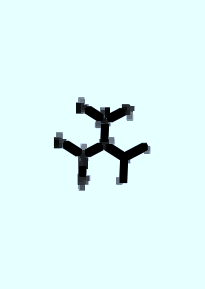 CC(C)N([SiH](Br)Br)[SiH](Br)Br